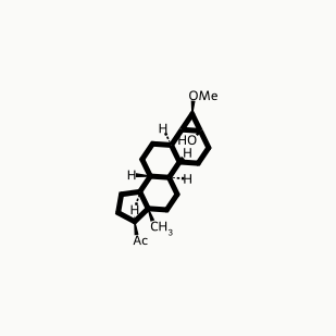 CO[C@@H]1C2[C@@H]3CC[C@@H]4[C@H](CC[C@]5(C)[C@@H](C(C)=O)CC[C@@H]45)[C@H]3CC[C@@]21O